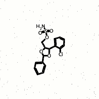 NS(=O)(=O)OCC1OC(c2ccccc2)OC1c1ccccc1Cl